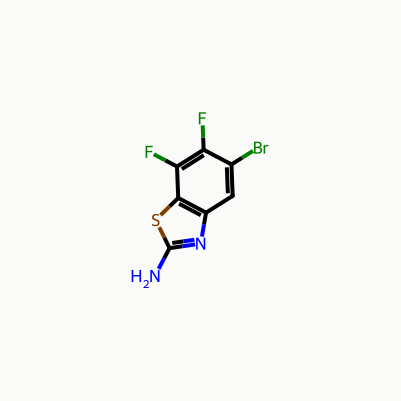 Nc1nc2cc(Br)c(F)c(F)c2s1